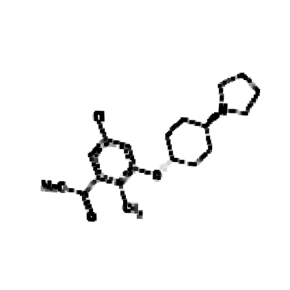 COC(=O)c1cc(Cl)cc(O[C@H]2CC[C@H](N3CCCC3)CC2)c1C